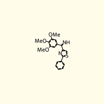 COc1cc(C(=N)c2csc(-c3ccccc3)n2)cc(OC)c1OC